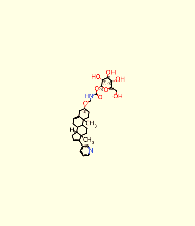 CC12CC[C@H](OCNC(=O)O[C@@H]3O[C@H](CO)[C@@H](O)[C@H](O)[C@H]3O)CC1=CCC1C2CCC2(C)C(c3cccnc3)=CC[C@@H]12